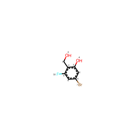 OCc1c(O)cc(Br)cc1F